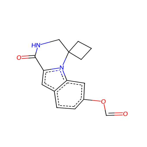 O=COc1ccc2cc3n(c2c1)C1(CCC1)CNC3=O